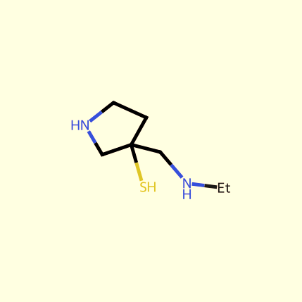 CCNCC1(S)CCNC1